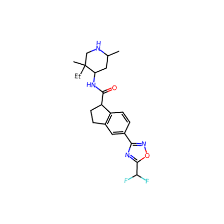 CCC1(C)CNC(C)CC1NC(=O)C1CCc2cc(-c3noc(C(F)F)n3)ccc21